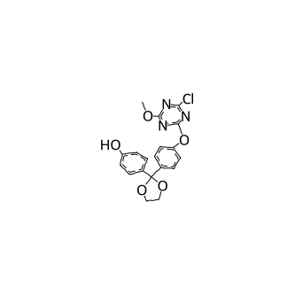 COc1nc(Cl)nc(Oc2ccc(C3(c4ccc(O)cc4)OCCO3)cc2)n1